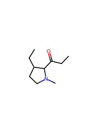 CCC(=O)C1C(CC)CCN1C